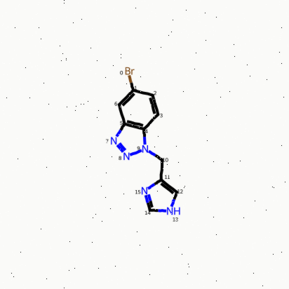 Brc1ccc2c(c1)nnn2Cc1c[nH]cn1